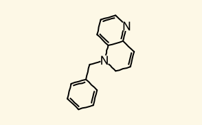 C1=Cc2ncccc2N(Cc2ccccc2)C1